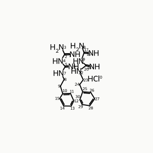 Cl.N=C(N)NC(=N)NCCc1ccccc1.N=C(N)NC(=N)NCCc1ccccc1